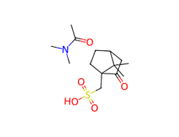 CC(=O)N(C)C.CC1(C)C2CCC1(CS(=O)(=O)O)C(=O)C2